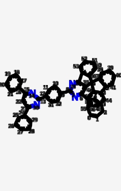 C1=CCC=CC(c2nc(-c3ccc(-c4nc(-c5ccccc5)cc(-c5ccccc5)n4)cc3)nc3c2C2(c4ccccc4-c4ccccc42)c2ccccc2-3)=C1